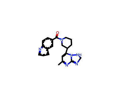 CC1=NC2=NCNN2C(C2CCCN(C(=O)c3ccc4ncccc4c3)C2)=C1